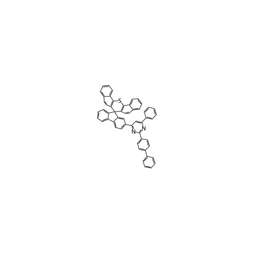 c1ccc(-c2ccc(-c3nc(-c4ccccc4)cc(-c4ccc5c(c4)C4(c6ccccc6-5)c5ccc6ccccc6c5Sc5c4ccc4ccccc54)n3)cc2)cc1